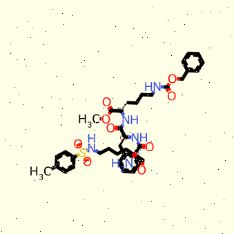 COC(=O)[C@H](CCCCNC(=O)OCc1ccccc1)NC(=O)[C@H](Cc1ccccc1)NC(=O)[C@@](N)(C=O)CCCCNS(=O)(=O)c1ccc(C)cc1